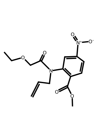 C=CCN(C(=O)COCC)c1cc([N+](=O)[O-])ccc1C(=O)OC